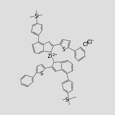 C[Si](C)(C)c1ccc(-c2cccc3c2C=C(c2ccc(-c4ccccc4)s2)[CH]3[Zr+2][CH]2C(c3ccc(-c4ccccc4)s3)=Cc3c(-c4ccc([Si](C)(C)C)cc4)cccc32)cc1.[Cl-].[Cl-]